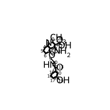 Cc1nc2cccc(OCCNC(=O)c3cccc(O)c3)c2c(N)c1C(=O)O